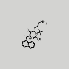 C[C@H](NC(=O)[C@H](CCCN)N(C(=O)O)C(C)(C)C)c1cccc2ccccc12